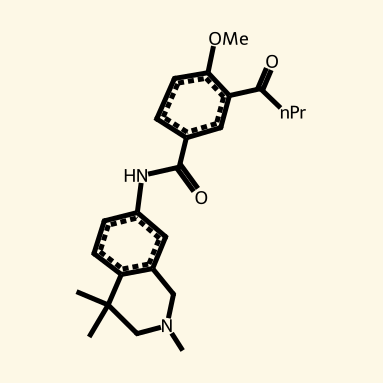 CCCC(=O)c1cc(C(=O)Nc2ccc3c(c2)CN(C)CC3(C)C)ccc1OC